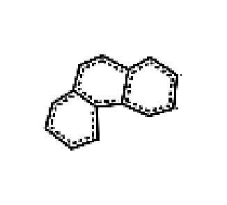 [c]1[c]cc2c(c1)ccc1ccccc12